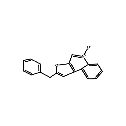 [O-][n+]1cc2oc(Cc3ccccc3)cc2c2ccccc21